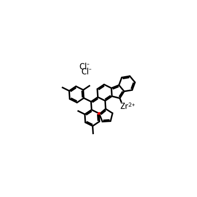 Cc1ccc(C(c2ccc(C)cc2C)=c2ccc3c(c2C2=CC=CC2)[C]([Zr+2])=c2ccccc2=3)c(C)c1.[Cl-].[Cl-]